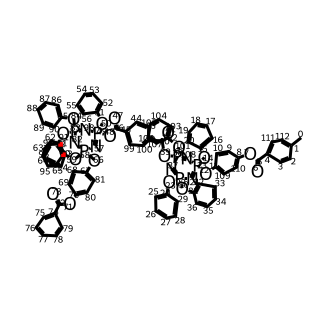 Cc1ccc(C(=O)Oc2ccc(OP3(Oc4ccccc4)=NP(Oc4ccccc4)(Oc4ccccc4)=NP(OC(=O)c4ccc(C(=O)OP5(Oc6ccccc6)=NP(Oc6ccccc6)(Oc6ccc(OC(=O)c7ccccc7)cc6)=NP(Oc6ccccc6)(Oc6ccccc6)=N5)cc4)(Oc4ccccc4)=N3)cc2)cc1